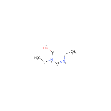 CC/N=C\N(CC)CO